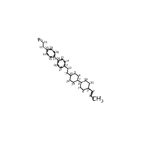 CC=CC1CCC(C2CCC(CCc3ccc(-c4ccc(CCF)cc4)cc3)CC2)CC1